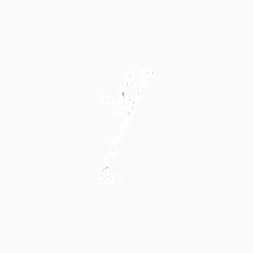 CCCCCCCCC=CCCCCCCCCN(CC(O)CO)C(=O)C(C)O